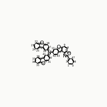 c1ccc(-c2nc3c(ccc4oc5cc(N(c6ccc7oc8ccccc8c7c6)c6ccc7oc8ccccc8c7c6)ccc5c43)o2)cc1